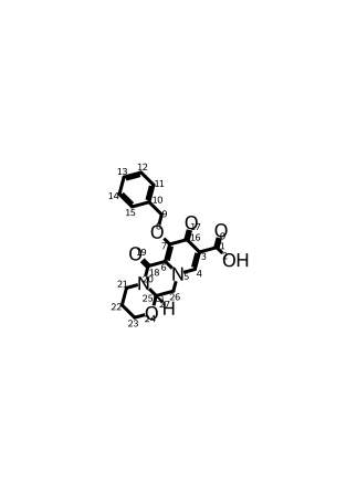 O=C(O)c1cn2c(c(OCc3ccccc3)c1=O)C(=O)N1CCCO[C@H]1C2